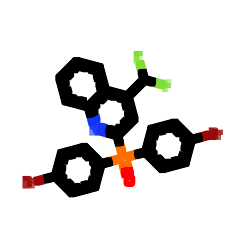 O=P(c1ccc(Br)cc1)(c1ccc(Br)cc1)c1cc(C(F)F)c2ccccc2n1